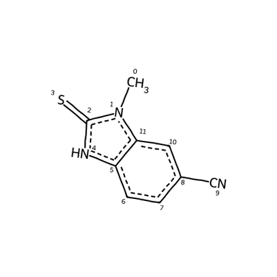 Cn1c(=S)[nH]c2ccc(C#N)cc21